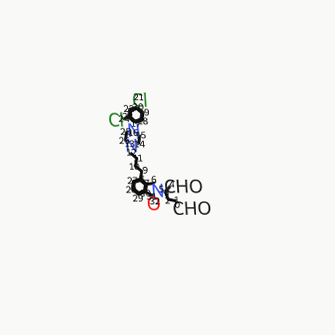 O=CCCC(C=O)N1Cc2c(CCCCN3CCN(c4ccc(Cl)cc4Cl)CC3)cccc2C1=O